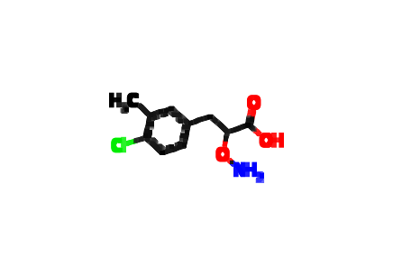 Cc1cc(CC(ON)C(=O)O)ccc1Cl